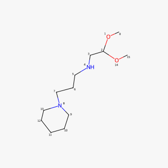 COC(CNCCCN1CCCCC1)OC